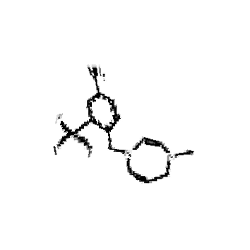 CN1C=CN(Cc2ccc(N)cc2C(F)(F)F)C=CC1